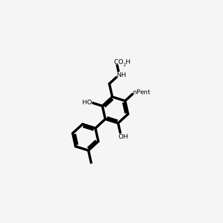 CCCCCc1cc(O)c(-c2cccc(C)c2)c(O)c1CNC(=O)O